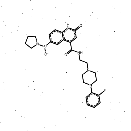 O=C(NCCN1CCN(c2ccccc2F)CC1)c1cc(=O)[nH]c2ccc([S+]([O-])N3CCCC3)cc12